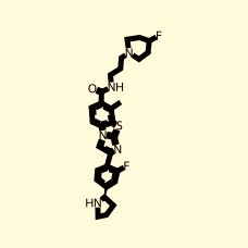 Cc1c(C(=O)NCCCN2CCC(F)CC2)ccc2c1sc1nc(-c3ccc([C@H]4CCCN4)cc3F)cn12